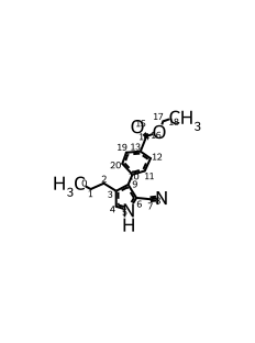 CCCc1c[nH]c(C#N)c1-c1ccc(C(=O)OCC)cc1